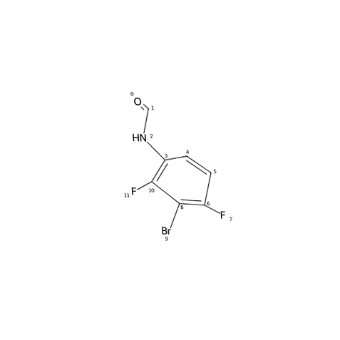 O=CNc1ccc(F)c(Br)c1F